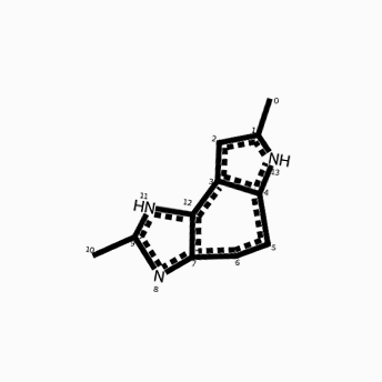 Cc1cc2c(ccc3nc(C)[nH]c32)[nH]1